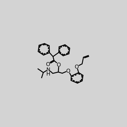 C=CCOc1ccccc1OCC(CNC(C)C)OC(=O)C(c1ccccc1)c1ccccc1